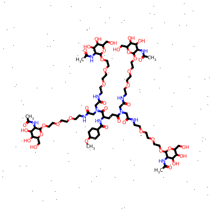 COC1CCC(C(=O)NC(CCC(=O)N(CC(=O)NCCOCCOCCOC2OC(CO)C(O)C(O)C2NC(C)=O)CC(=O)NCCOCCOCCOC2OC(CO)C(O)C(O)C2NC(C)=O)C(=O)N(CC(=O)NCCOCCOCCOC2OC(CO)C(O)C(O)C2NC(C)=O)CC(=O)NCCOCCOCCOC2OC(CO)C(O)C(O)C2NC(C)=O)CC1